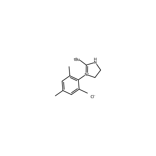 Cc1cc(C)c([N+]2=C(C(C)(C)C)NCC2)c(C)c1.[Cl-]